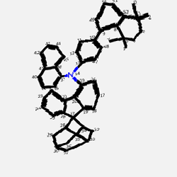 CC1(C)CCC(C)(C)c2c(-c3ccc(N(c4cccc5c4-c4ccccc4C54C5CC6CC7CC4C75C6)c4cccc5ccccc45)cc3)cccc21